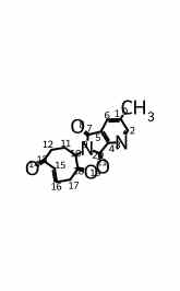 Cc1cnc2c(c1)C(=O)N(C1CCC(=O)/C=C/CC1=O)C2=O